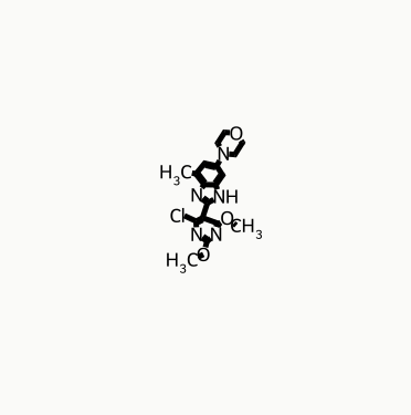 COc1nc(Cl)c(-c2nc3c(C)cc(N4CCOCC4)cc3[nH]2)c(OC)n1